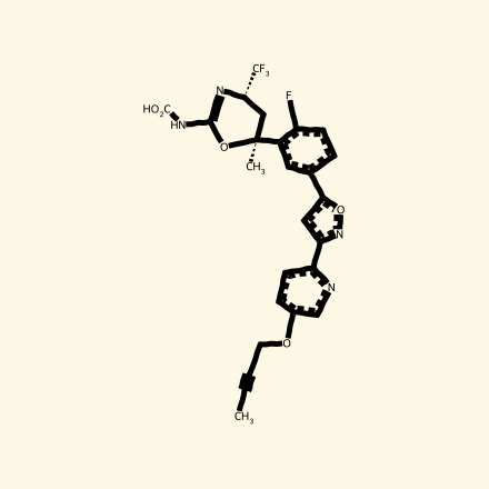 CC#CCOc1ccc(-c2cc(-c3ccc(F)c([C@]4(C)C[C@@H](C(F)(F)F)N=C(NC(=O)O)O4)c3)on2)nc1